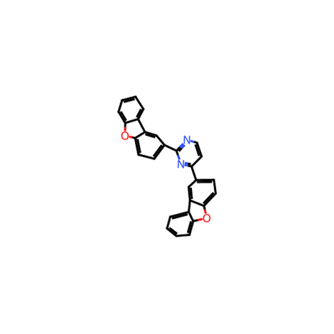 c1ccc2c(c1)oc1ccc(-c3ccnc(-c4ccc5oc6ccccc6c5c4)n3)cc12